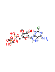 Nc1nc(Cl)nc2c1ncn2[C@@H]1O[C@H](COP(=O)(O)OP(=O)(O)O)C(O)C1O